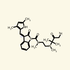 [3H]CC(=O)C(C)(C)N(C)CCN(C)C(=O)N1C(=O)/C(=C\c2[nH]c(C)cc2C)c2ccccc21